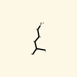 CC(C)C[CH]CF